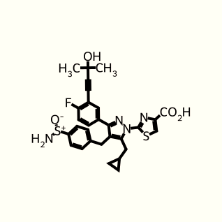 CC(C)(O)C#Cc1cc(-c2nn(-c3nc(C(=O)O)cs3)c(CC3CC3)c2Cc2ccc([S+](N)[O-])cc2)ccc1F